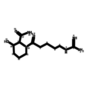 N=C(N)NCCC[CH]C(=O)N1CCCC(O)C1C(N)=O